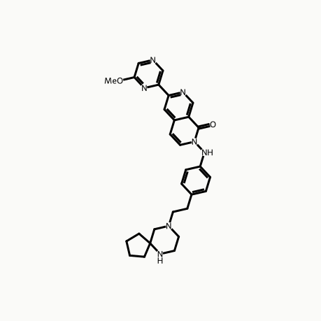 COc1cncc(-c2cc3ccn(Nc4ccc(CCN5CCNC6(CCCC6)C5)cc4)c(=O)c3cn2)n1